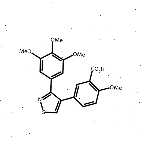 COc1ccc(-c2csnc2-c2cc(OC)c(OC)c(OC)c2)cc1C(=O)O